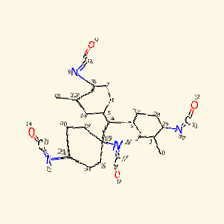 CC1CC(C(C2CCC(N=C=O)C(C)C2)C2(N=C=O)CCC(N=C=O)CC2)CCC1N=C=O